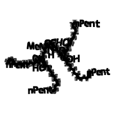 CCCCC/C=C\C/C=C\CCCCCCC(O)CN(CCCCC(C=O)NC(=O)C(CCCCN(CC(O)CCCCCC/C=C\C/C=C\CCCCC)CC(O)CCCCCC/C=C\C/C=C\CCCCC)NC)CC(O)CCCCCC/C=C\C/C=C\CCCCC